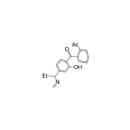 C=NC(CC)c1ccc(C(=O)c2ccccc2C(C)=O)c(O)c1